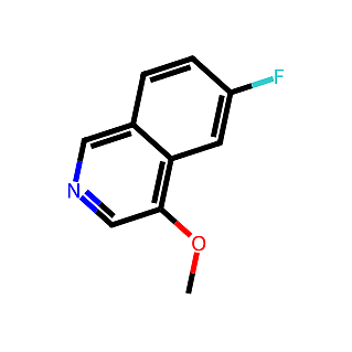 COc1cncc2ccc(F)cc12